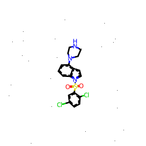 O=S(=O)(c1cc(Cl)ccc1Cl)n1ccc2c(N3CCNCC3)cccc21